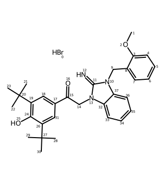 Br.COc1ccccc1Cn1c(=N)n(CC(=O)c2cc(C(C)(C)C)c(O)c(C(C)(C)C)c2)c2ccccc21